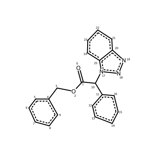 O=C(OCc1ccccc1)C(c1ccccc1)n1nnc2ccccc21